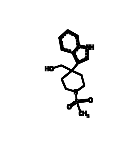 CS(=O)(=O)N1CCC(CO)(c2c[nH]c3ccccc23)CC1